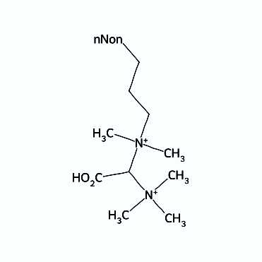 CCCCCCCCCCCC[N+](C)(C)C(C(=O)O)[N+](C)(C)C